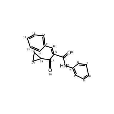 O=C(Nc1ccccc1)C(=Cc1ccccc1)C(=O)C1CC1